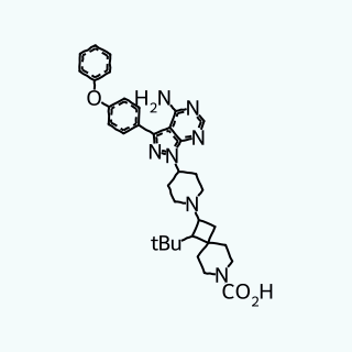 CC(C)(C)C1C(N2CCC(n3nc(-c4ccc(Oc5ccccc5)cc4)c4c(N)ncnc43)CC2)CC12CCN(C(=O)O)CC2